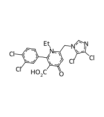 CCn1c(Cn2cnc(Cl)c2Cl)cc(=O)c(C(=O)O)c1-c1ccc(Cl)c(Cl)c1